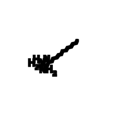 CCCCCCCCCCCCC(N)CC(N)N